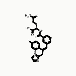 NC(=O)CC[C@H](NC(=O)c1cccc(C=C(Cc2ncc[nH]2)c2ccc(F)cc2)c1)C(=O)O